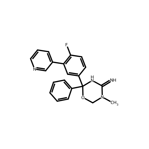 CN1COC(c2ccccc2)(c2ccc(F)c(-c3cccnc3)c2)NC1=N